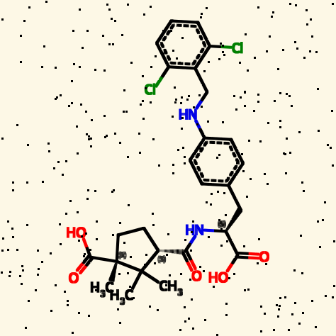 CC1(C)[C@@H](C(=O)N[C@@H](Cc2ccc(NCc3c(Cl)cccc3Cl)cc2)C(=O)O)CC[C@@]1(C)C(=O)O